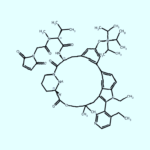 CCc1ccncc1-c1c2c3cc(ccc3n1CC)-c1cc(cc(O[Si](C(C)C)(C(C)C)C(C)C)c1)C[C@H](NC(=O)[C@H](C(C)C)N(C)C(=O)CN1C(=O)C=CC1=O)C(=O)N1CCC[C@H](N1)C(=O)OCC(C)(C)C2